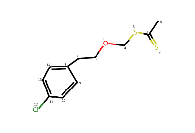 CC(=S)SCOCCc1ccc(Cl)cc1